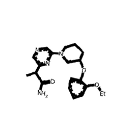 CCOc1ccccc1OC1CCCN(c2cncc(C(C)C(N)=O)n2)C1